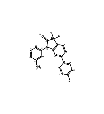 Cc1ncc(-c2ccc3c(c2)N(c2cncc(N)c2)C(=O)C3(C)C)cn1